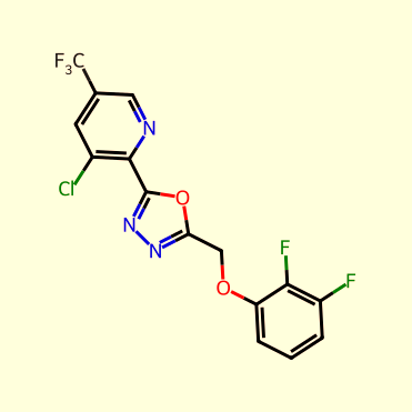 Fc1cccc(OCc2nnc(-c3ncc(C(F)(F)F)cc3Cl)o2)c1F